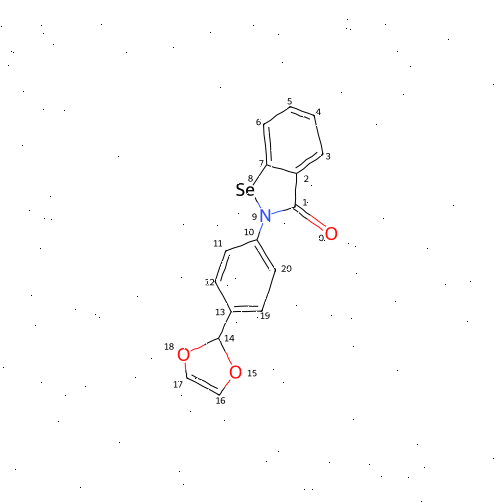 O=c1c2ccccc2[se]n1-c1ccc(C2OC=CO2)cc1